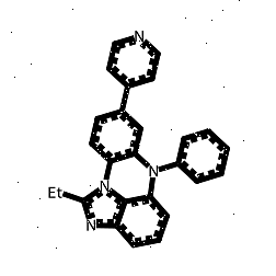 CCc1nc2cccc3c2n1-c1ccc(-c2ccncc2)cc1N3c1ccccc1